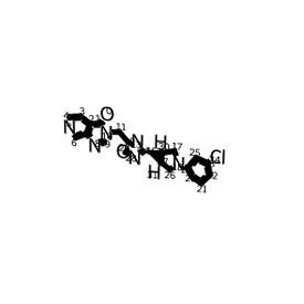 O=c1c2ccncc2ncn1Cc1nc([C@@H]2[C@@H]3CN(c4cccc(Cl)c4)C[C@@H]32)no1